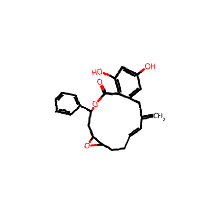 C=C1/C=C/CCC2OC2CC(c2ccccc2)OC(=O)c2c(O)cc(O)cc2C1